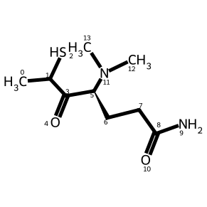 CC(S)C(=O)[C@H](CCC(N)=O)N(C)C